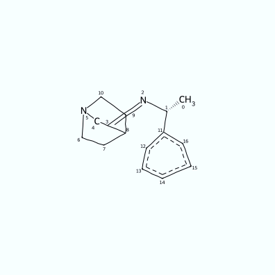 C[C@@H](/N=C1/CN2CCC1CC2)c1ccccc1